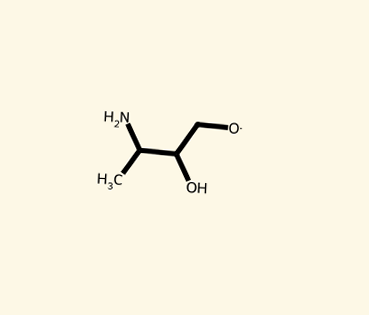 CC(N)C(O)C[O]